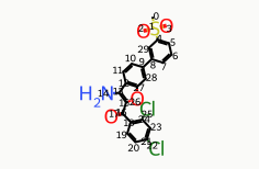 CS(=O)(=O)c1cccc(-c2ccc3c(N)c(C(=O)c4ccc(Cl)cc4Cl)oc3c2)c1